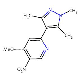 COc1cc(-c2c(C)nn(C)c2C)ncc1[N+](=O)[O-]